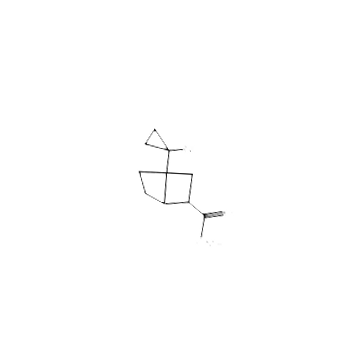 COC(=O)C1CC2(C3(N)CC3)CCC12